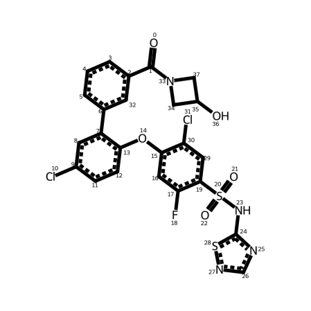 O=C(c1cccc(-c2cc(Cl)ccc2Oc2cc(F)c(S(=O)(=O)Nc3ncns3)cc2Cl)c1)N1CC(O)C1